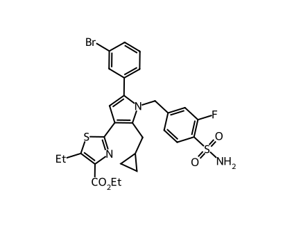 CCOC(=O)c1nc(-c2cc(-c3cccc(Br)c3)n(Cc3ccc(S(N)(=O)=O)c(F)c3)c2CC2CC2)sc1CC